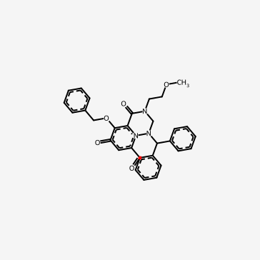 COCCN1CN(C(c2ccccc2)c2ccccc2)n2c(C=O)cc(=O)c(OCc3ccccc3)c2C1=O